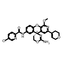 COc1nc(C2=CCOCC2)cc2c1Oc1ccc(NC(=O)c3ccc(Cl)cn3)cc1[C@@]21CCOC(N)=N1